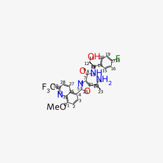 COc1ccc(-c2nc(C(=O)N[C@@H](CO)c3ccc(F)cc3)c([C@H](C)N)o2)c2ccc(C(F)(F)F)nc12